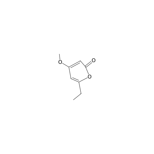 CCc1cc(OC)cc(=O)o1